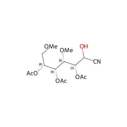 COC[C@@H](OC(C)=O)[C@@H](OC(C)=O)[C@H](OC)[C@@H](OC(C)=O)C(O)C#N